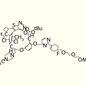 COCCOCCOC[C@@]1(F)CC=C(c2nccc(COc3ccc4cc3C[C@H](C(=O)OC(C)(C)C)Oc3ncnc5sc(C6CCC6)c(c35)-c3c(C)c(Cl)c(c(Cl)c3C)C[C@H](CN3CCN(C)CC3)CO4)n2)CC1